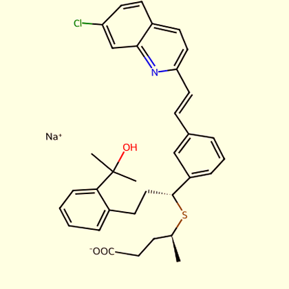 C[C@@H](CCC(=O)[O-])S[C@H](CCc1ccccc1C(C)(C)O)c1cccc(C=Cc2ccc3ccc(Cl)cc3n2)c1.[Na+]